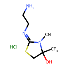 Cl.N#CN1C(=NCCN)SCC1(O)C(F)(F)F